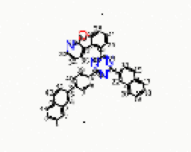 c1ccc2cc(-c3ccc(-c4nc(-c5ccc6ccccc6c5)nc(-c5cccc6oc7ncccc7c56)n4)cc3)ccc2c1